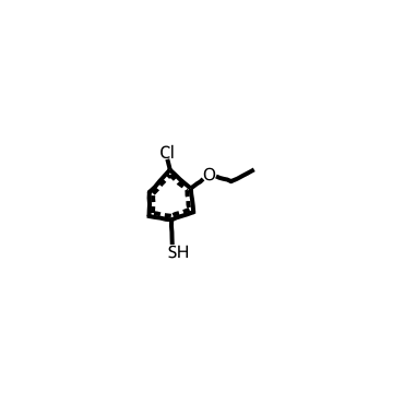 CCOc1cc(S)ccc1Cl